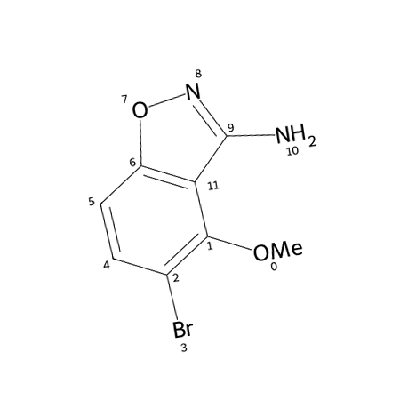 COc1c(Br)ccc2onc(N)c12